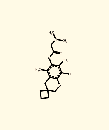 Cc1c(C)c2c(c(C)c1OC(=O)CN(C)C)CC1(CCC1)CO2